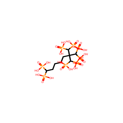 O=P(O)(O)C(CCCCC(C(P(=O)(O)O)P(=O)(O)O)(C(P(=O)(O)O)P(=O)(O)O)C(P(=O)(O)O)P(=O)(O)O)P(=O)(O)O